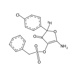 [2H]C1(c2ccc(Cl)cc2)OC(N)=C(OS(=O)(=O)Cc2ccccc2)C1=O